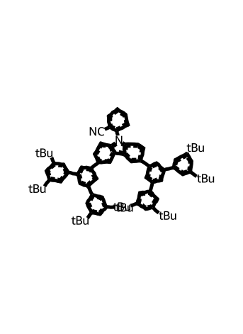 CC(C)(C)c1cc(-c2cc(-c3cc(C(C)(C)C)cc(C(C)(C)C)c3)cc(-c3ccc4c(c3)c3cc(-c5cc(-c6cc(C(C)(C)C)cc(C(C)(C)C)c6)cc(-c6cc(C(C)(C)C)cc(C(C)(C)C)c6)c5)ccc3n4-c3ccccc3C#N)c2)cc(C(C)(C)C)c1